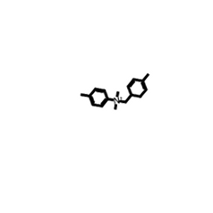 CC1=CCC(C[N+](C)(C)c2ccc(C)cc2)C=C1